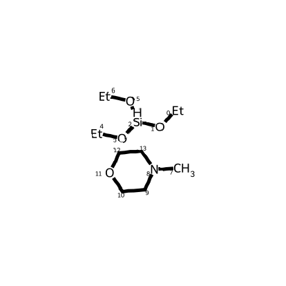 CCO[SiH](OCC)OCC.CN1CCOCC1